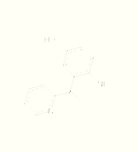 Cc1ccc(N)c(C(=S)c2ccccn2)c1